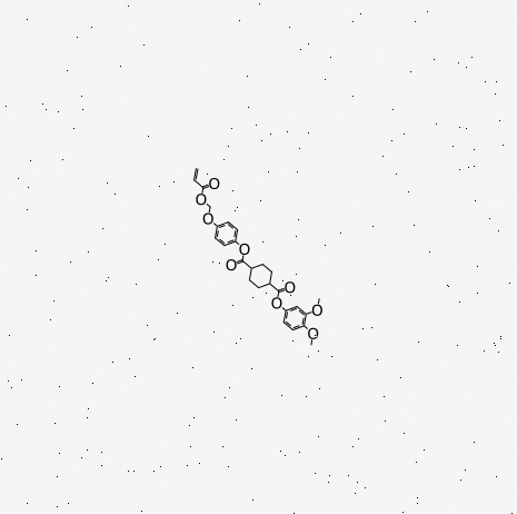 C=CC(=O)OCOc1ccc(OC(=O)C2CCC(C(=O)Oc3ccc(OC)c(OC)c3)CC2)cc1